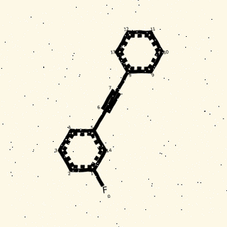 Fc1cccc(C#Cc2ccccc2)c1